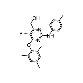 Cc1ccc(Nc2nc(CO)c(Br)c(Oc3c(C)cc(C)cc3C)n2)cc1